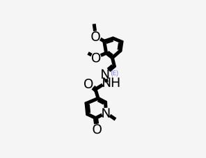 COc1cccc(/C=N/NC(=O)c2ccc(=O)n(C)c2)c1OC